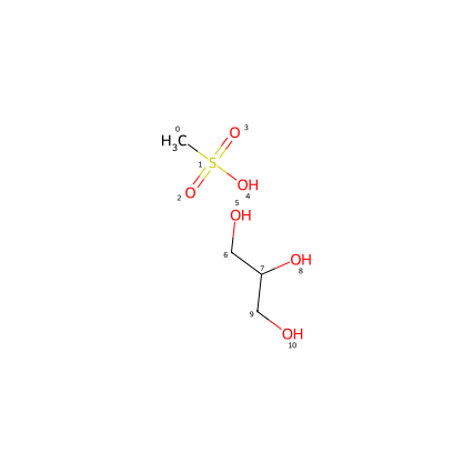 CS(=O)(=O)O.OCC(O)CO